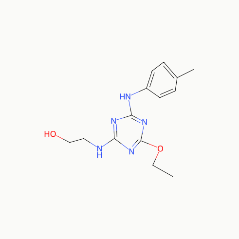 CCOc1nc(NCCO)nc(Nc2ccc(C)cc2)n1